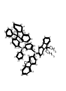 CC1(C)c2ccccc2-c2cc(N(c3cccc(N(c4ccccc4)c4cccc(C5(c6ccccc6)c6ccccc6-c6ccccc65)c4)c3)c3ccc4c(c3)oc3ccccc34)ccc21